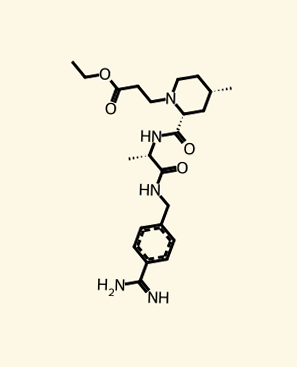 CCOC(=O)CCN1CC[C@H](C)C[C@@H]1C(=O)N[C@@H](C)C(=O)NCc1ccc(C(=N)N)cc1